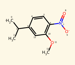 [CH2]C(C)c1ccc([N+](=O)[O-])c(OC)c1